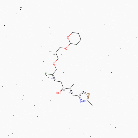 C/C(=C\c1csc(C)n1)[C@@H](O)C/C=C(/F)COC[C@H](C)COC1CCCCO1